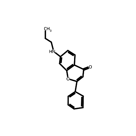 CCCNc1ccc2c(=O)cc(-c3ccccc3)oc2c1